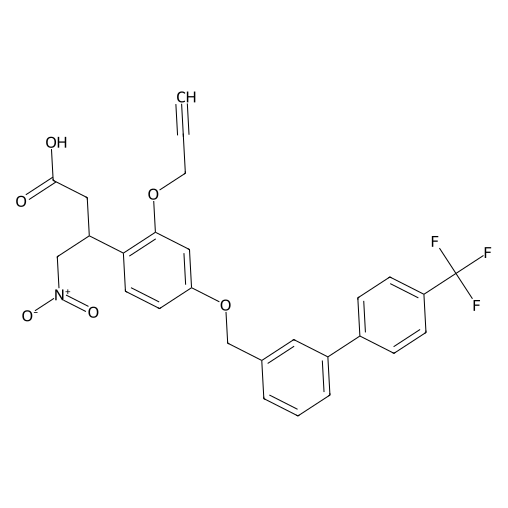 C#CCOc1cc(OCc2cccc(-c3ccc(C(F)(F)F)cc3)c2)ccc1C(CC(=O)O)C[N+](=O)[O-]